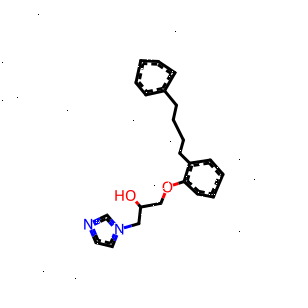 OC(COc1ccccc1CCCCc1ccccc1)Cn1ccnc1